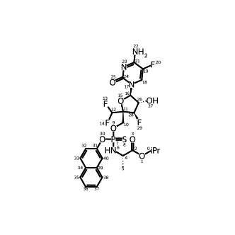 CC(C)OC(=O)[C@H](C)NP(=S)(OC[C@@]1(C(F)F)O[C@@H](n2cc(F)c(N)nc2=O)[C@H](O)[C@H]1F)Oc1ccc2ccccc2c1